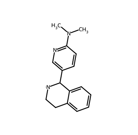 CN(C)c1ccc(C2[N]CCc3ccccc32)cn1